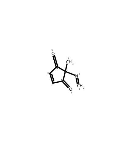 C=NC1(C)C(=O)C=CC1=O